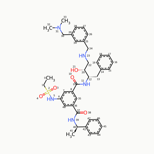 CCS(=O)(=O)Nc1cc(C(=O)N[C@@H](Cc2ccccc2)[C@H](O)CNCc2cccc(CN(C)C)c2)cc(C(=O)N[C@H](C)c2ccccc2)c1